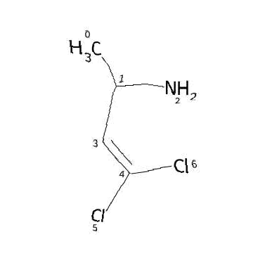 CC(N)C=C(Cl)Cl